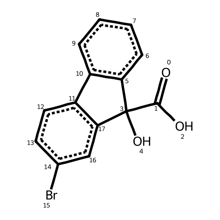 O=C(O)C1(O)c2ccccc2-c2ccc(Br)cc21